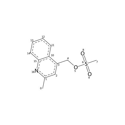 Cc1cc(COS(C)(=O)=O)c2ccccc2n1